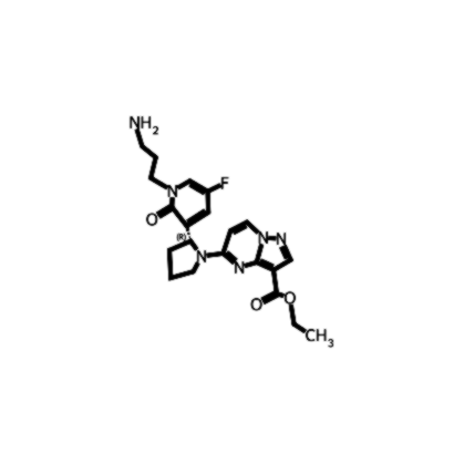 CCOC(=O)c1cnn2ccc(N3CCC[C@@H]3c3cc(F)cn(CCCN)c3=O)nc12